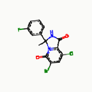 CC1(c2cccc(F)c2)NC(=O)c2c(Cl)cc(Br)c(=O)n21